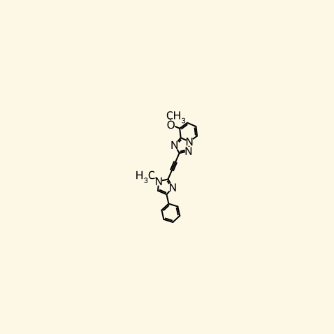 COc1cccn2nc(C#Cc3nc(-c4ccccc4)cn3C)nc12